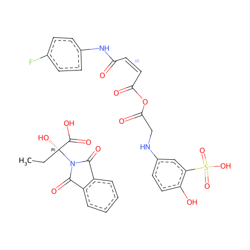 CC[C@@](O)(C(=O)O)N1C(=O)c2ccccc2C1=O.O=C(/C=C\C(=O)OC(=O)CNc1ccc(O)c(S(=O)(=O)O)c1)Nc1ccc(F)cc1